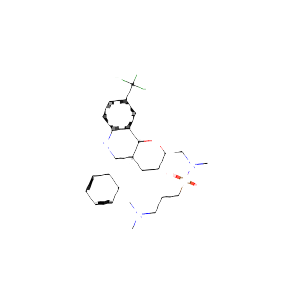 CN(C)CCCS(=O)(=O)N(C)C[C@H]1CC[C@@H]2[C@H](O1)c1cc(C(F)(F)F)ccc1N[C@H]2C1C=CC=CC1